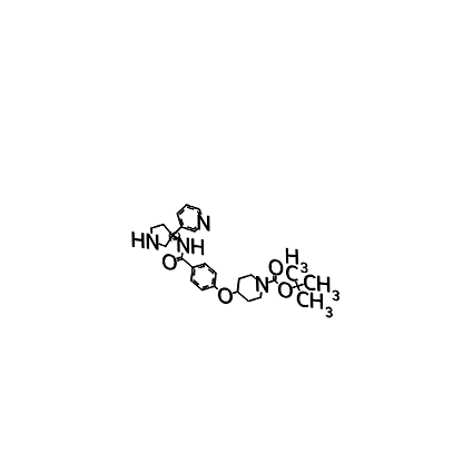 CC(C)(C)OC(=O)N1CCC(Oc2ccc(C(=O)N[C@]3(c4cccnc4)CCNC3)cc2)CC1